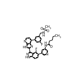 CCCCC(=O)Nc1cncc(-c2ccc3[nH]nc(-c4nc5c(-c6cc(F)cc(CNS(C)(=O)=O)c6)ccnc5[nH]4)c3c2F)c1